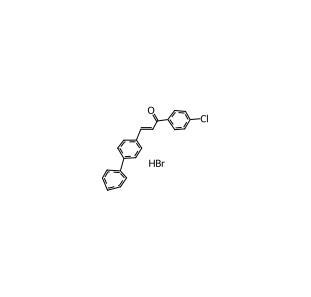 Br.O=C(C=Cc1ccc(-c2ccccc2)cc1)c1ccc(Cl)cc1